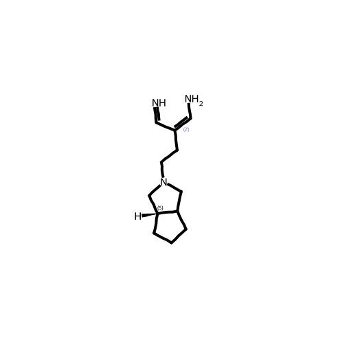 N=C/C(=C\N)CCN1CC2CCC[C@@H]2C1